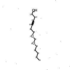 CCCCCOCOCCC#CCCO